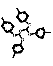 Cc1ccc(OC(Oc2ccc(C)cc2)OC(Oc2ccc(C)cc2)Oc2ccc(C)cc2)cc1